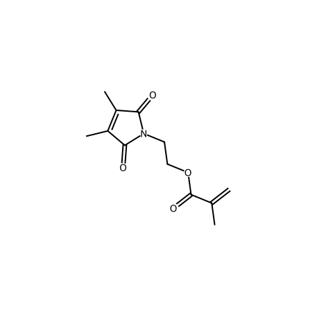 C=C(C)C(=O)OCCN1C(=O)C(C)=C(C)C1=O